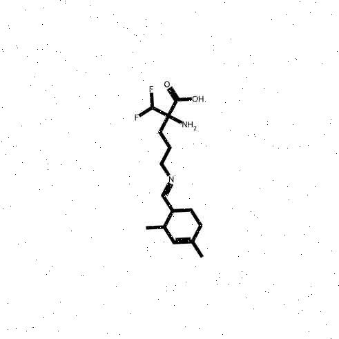 CC1=CC(C)C(C=NCCCC(N)(C(=O)O)C(F)F)CC1